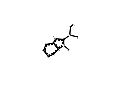 CCN(C)c1nc2ccccc2n1C